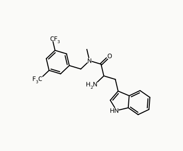 CN(Cc1cc(C(F)(F)F)cc(C(F)(F)F)c1)C(=O)C(N)Cc1c[nH]c2ccccc12